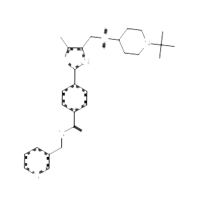 Cc1oc(-c2ccc(C(=O)NCc3cccnc3)cc2)nc1CS(=O)(=O)C1CCN(C(C)(C)C)CC1